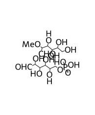 COC(C=O)C(O)C(O)C(O)CO.O=CC(O)C(O)C(O)C(O)COP(=O)(O)O